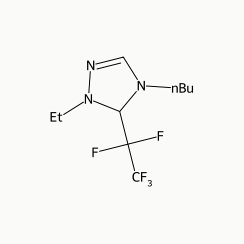 CCCCN1C=NN(CC)C1C(F)(F)C(F)(F)F